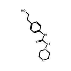 O=C(Nc1ccc(CCO)cc1)NN1CCOCC1